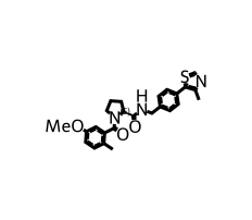 COc1ccc(C)c(C(=O)N2CCC[C@H]2C(=O)NCc2ccc(-c3scnc3C)cc2)c1